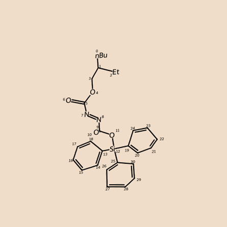 CCCCC(CC)COC(=O)N=NC(=O)O[Si](c1ccccc1)(c1ccccc1)c1ccccc1